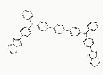 C1=CC2N=C(c3ccc(N(c4ccccc4)c4ccc(C5C=CC(c6ccc(N(c7ccccc7)c7ccc(-c8nc9ccccc9s8)cc7)cc6)=CC5)cc4)cc3)SC2C=C1